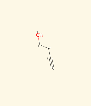 [C]#CCCO